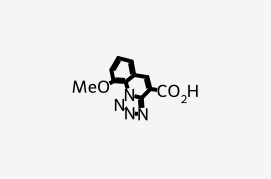 COc1cccc2cc(C(=O)O)c3nnnn3c12